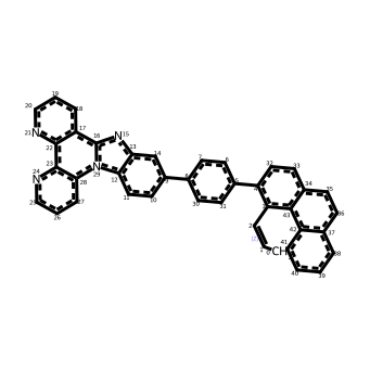 C/C=C\c1c(-c2ccc(-c3ccc4c(c3)nc3c5cccnc5c5ncccc5n43)cc2)ccc2ccc3ccccc3c12